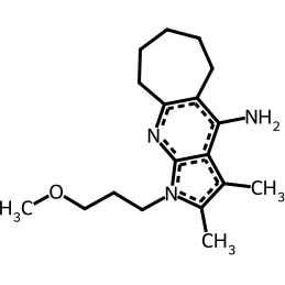 COCCCn1c(C)c(C)c2c(N)c3c(nc21)CCCCC3